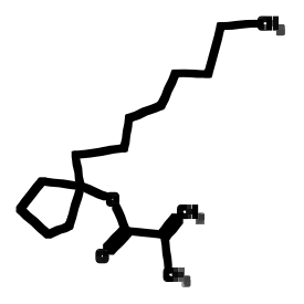 C=C(C)C(=O)OC1(CCCCCCCC)CCCC1